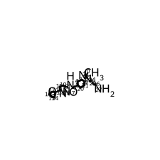 Cc1nc2cc(C(=O)Nc3ccc(-c4ccco4)nn3)ccc2n1CCCN